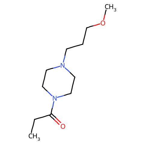 CCC(=O)N1CCN(CCCOC)CC1